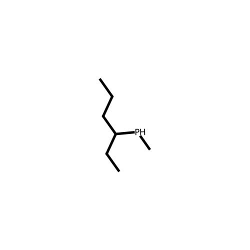 CCCC(CC)PC